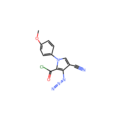 COc1ccc(-n2cc(C#N)c(N=[N+]=[N-])c2C(=O)Cl)cc1